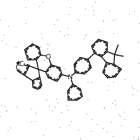 CC1(C)c2ccccc2-c2c(-c3ccc(N(c4ccccc4)c4ccc5c(c4)Oc4ccccc4C54c5ccccc5-c5ccccc54)cc3)cccc21